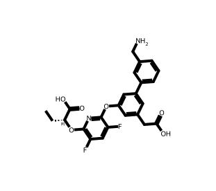 CC[C@@H](Oc1nc(Oc2cc(CC(=O)O)cc(-c3cccc(CN)c3)c2)c(F)cc1F)C(=O)O